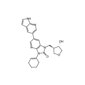 O=c1n(C[C@@H]2COC[C@H]2O)c2cc(-c3cnc4[nH]ccc4c3)cnc2n1C1=CCCCC1